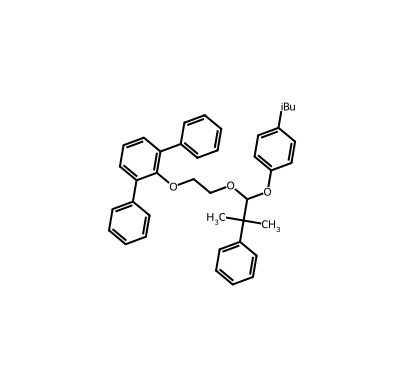 CCC(C)c1ccc(OC(OCCOc2c(-c3ccccc3)cccc2-c2ccccc2)C(C)(C)c2ccccc2)cc1